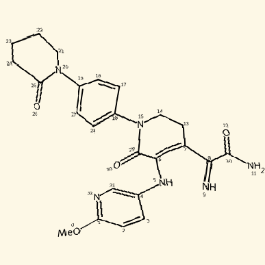 COc1ccc(NC2=C(C(=N)C(N)=O)CCN(c3ccc(N4CCCCC4=O)cc3)C2=O)cn1